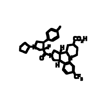 Cc1ccc([C@@H]2CN(C3CCCC3)C[C@@]2(F)C(=O)N2C[C@@H]3c4ccc(C(F)(F)F)cc4N4CCC(C(=O)O)CC4[C@H]3C2)cc1